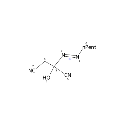 CCCCC/N=N/C(O)(C#N)CC#N